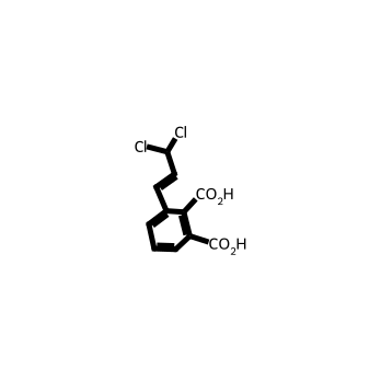 O=C(O)c1cccc(C=CC(Cl)Cl)c1C(=O)O